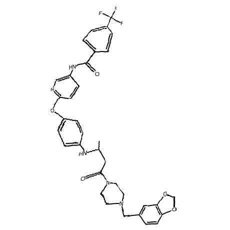 CC(CC(=O)N1CCN(Cc2ccc3c(c2)OCO3)CC1)Nc1ccc(Oc2ccc(NC(=O)c3ccc(C(F)(F)F)cc3)cn2)cc1